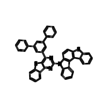 c1ccc(-c2cc(-c3ccccc3)cc(-c3nc(-n4c5ccccc5c5c6c(ccc54)sc4ccccc46)nc4c3sc3ccccc34)c2)cc1